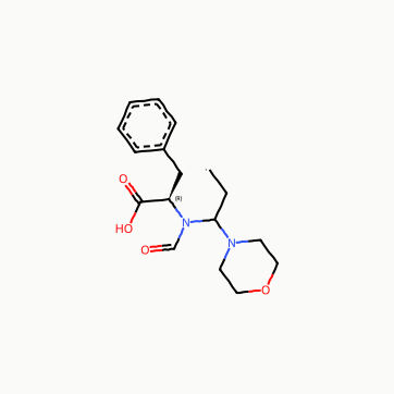 [CH2]CC(N1CCOCC1)N(C=O)[C@H](Cc1ccccc1)C(=O)O